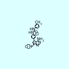 Cc1cccc(NC(=O)Nc2ccc(C3C=C(CN4CCOCC4)N4N=CN=C(N)C34)cc2Cl)c1